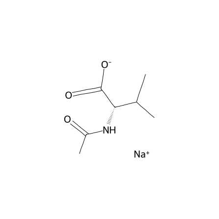 CC(=O)N[C@H](C(=O)[O-])C(C)C.[Na+]